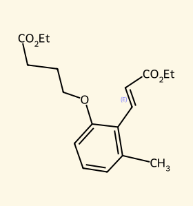 CCOC(=O)/C=C/c1c(C)cccc1OCCCC(=O)OCC